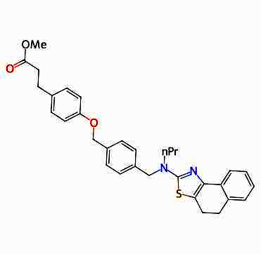 CCCN(Cc1ccc(COc2ccc(CCC(=O)OC)cc2)cc1)c1nc2c(s1)CCc1ccccc1-2